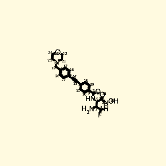 NC(C(F)F)[C@H](NC(=O)c1ccc(C#Cc2ccc(CN3CCOCC3)cc2)cc1)C(=O)NO